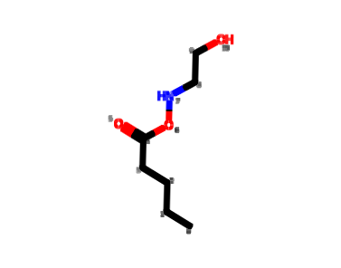 CCCCC(=O)ONCCO